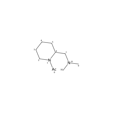 CC(=O)N1CCCCC1CN(C)C